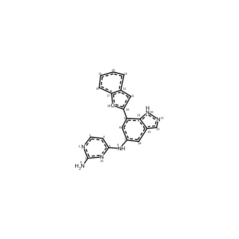 Nc1nccc(Nc2cc(-c3cc4ccccc4o3)c3[nH]ncc3c2)n1